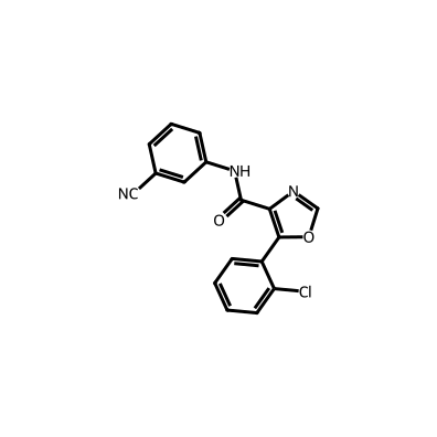 N#Cc1cccc(NC(=O)c2ncoc2-c2ccccc2Cl)c1